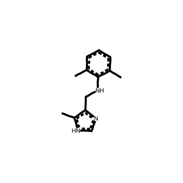 Cc1cccc(C)c1NCc1nc[nH]c1C